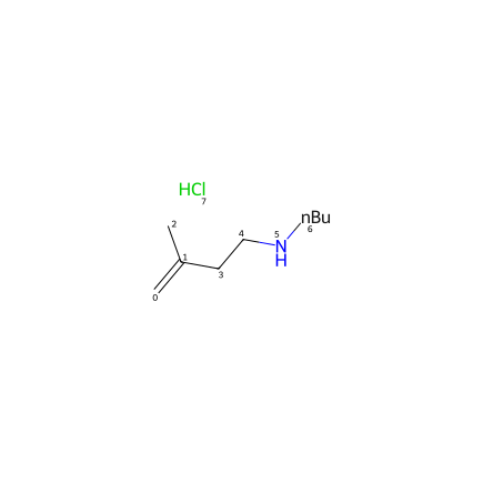 C=C(C)CCNCCCC.Cl